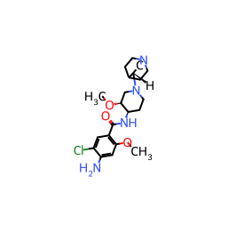 COc1cc(N)c(Cl)cc1C(=O)N[C@@H]1CCN([C@H]2CN3CCC2CC3)C[C@@H]1OC